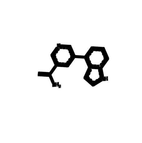 C=C(N)c1cncc(-c2cccc3[nH]ccc23)c1